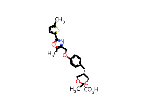 Cc1ccc(-c2nc(COc3ccc(C[C@H]4CO[C@@](C)(C(=O)O)OC4)cc3)c(C)o2)s1